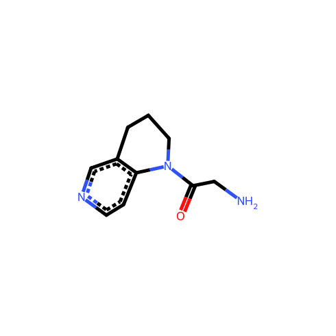 NCC(=O)N1CCCc2cnccc21